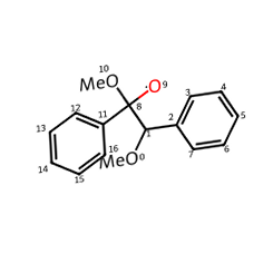 COC(c1ccccc1)C([O])(OC)c1ccccc1